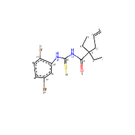 C=CCC(CC)(CC)C(=O)NC(=S)Nc1cc(Br)ccc1Br